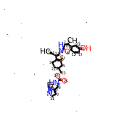 C#Cc1c(NC(=O)CC(C)c2cccc(O)c2)sc2c1CCC(COC(=O)NCc1ccnn1CC)C2